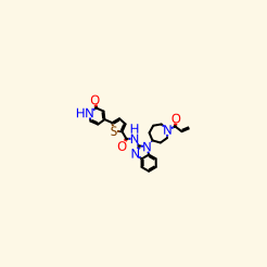 C=CC(=O)N1CCC[C@@H](n2c(NC(=O)c3ccc(-c4cc[nH]c(=O)c4)s3)nc3ccccc32)CC1